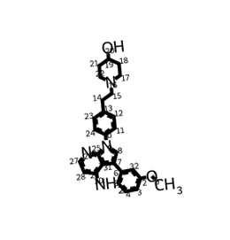 COc1cccc(-c2cn(-c3ccc(CCN4CCC(O)CC4)cc3)c3nccc(N)c23)c1